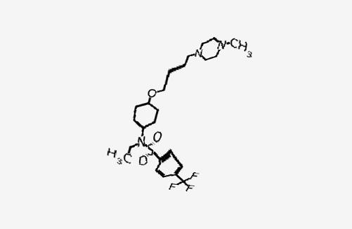 CCN(C1CCC(OCCCCN2CCN(C)CC2)CC1)S(=O)(=O)c1ccc(C(F)(F)F)cc1